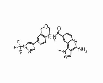 CN(C(=O)c1ccc2nc(N)c3cnn(C)c3c2c1)[C@H]1COCc2cc(-c3cnn(C(F)(F)F)c3)ccc21